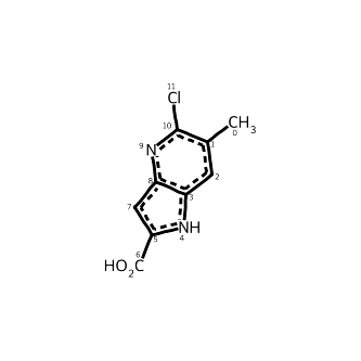 Cc1cc2[nH]c(C(=O)O)cc2nc1Cl